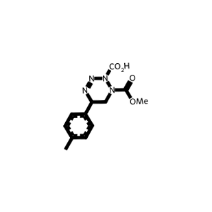 COC(=O)N1CC(c2ccc(C)cc2)N=NN1C(=O)O